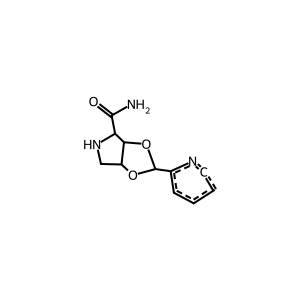 NC(=O)C1NCC2OC(c3ccccn3)OC21